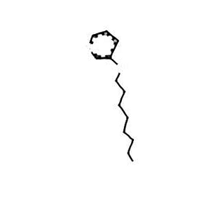 CCCCCCCCOc1[c]nccc1